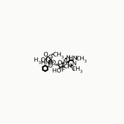 CCOC(=O)[C@@H](C)N[P@@](=S)(OC[C@H]1O[C@@H](n2cnc3c(NC)nc(C)nc32)[C@](C)(F)[C@@H]1O)Oc1ccccc1